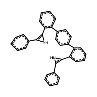 c1ccc(C2=C(c3ccccc3-c3ccc(-c4ccccc4C4=C(c5ccccc5)N4)cc3)N2)cc1